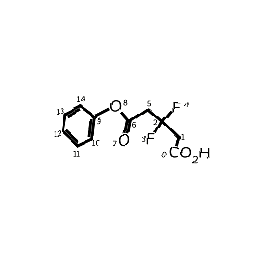 O=C(O)CC(F)(F)CC(=O)Oc1ccccc1